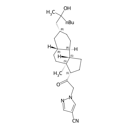 CCCCC(C)(O)C[C@@H]1CC[C@@H]2[C@H](CC[C@]3(C)[C@@H](C(=O)Cn4cc(C#N)cn4)CC[C@@H]23)C1